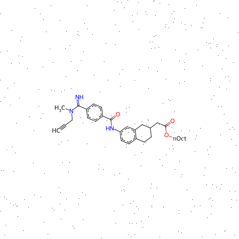 C#CCN(C)C(=N)c1ccc(C(=O)Nc2ccc3c(c2)CC(CC(=O)OCCCCCCCC)CC3)cc1